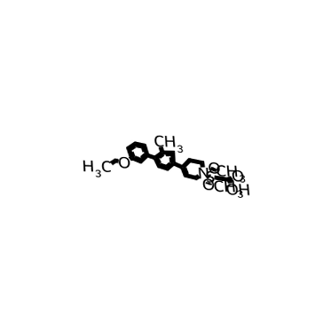 CCOc1cccc(-c2ccc(C3=CCN(S(=O)(=O)C(C)(C)C(=O)O)CC3)cc2C)c1